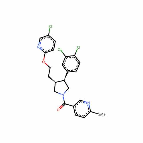 CSc1ccc(C(=O)N2C[C@@H](CCOc3ccc(Cl)cn3)[C@@H](c3ccc(Cl)c(Cl)c3)C2)cn1